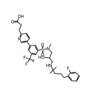 CN(CC(O)CNC(C)(C)CCCc1ccccc1F)S(=O)(=O)c1cc(-c2ccc(CCC(=O)O)nc2)cc(C(F)(F)F)c1